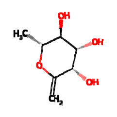 C=C1O[C@H](C)[C@@H](O)[C@H](O)[C@@H]1O